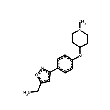 CN1CCC(Nc2ccc(-c3cc(CN)on3)cc2)CC1